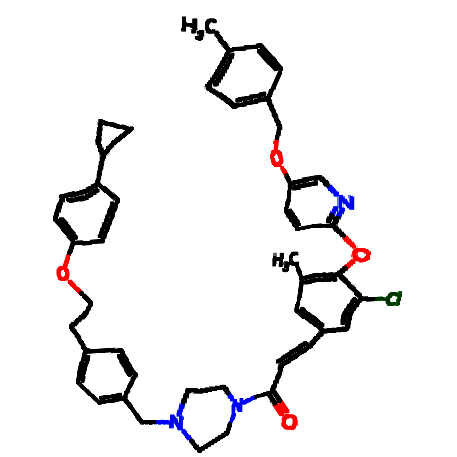 Cc1ccc(COc2ccc(Oc3c(C)cc(C=CC(=O)N4CCN(Cc5ccc(CCOc6ccc(C7CC7)cc6)cc5)CC4)cc3Cl)nc2)cc1